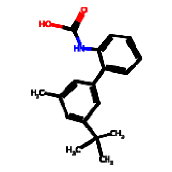 Cc1cc(-c2ccccc2NC(=O)O)cc(C(C)(C)C)c1